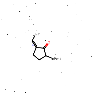 CCC/C=C1/CCC(CCCCC)C1=O